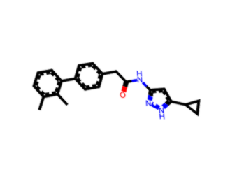 Cc1cccc(-c2ccc(CC(=O)Nc3cc(C4CC4)[nH]n3)cc2)c1C